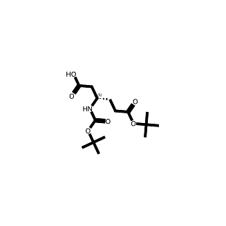 CC(C)(C)OC(=O)CC[C@@H](CC(=O)O)NC(=O)OC(C)(C)C